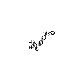 CC(C)(C)OC(=O)N[C@@H](Cc1ccc(N2CCN(C(=O)OCc3ccccc3)CC2)cc1)C(=O)O